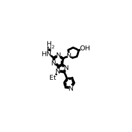 CCn1c(-c2ccncc2)nc2c(N3CCC(O)CC3)nc(NN)nc21